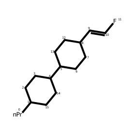 CCCC1CCC(C2CCC(C=CF)CC2)CC1